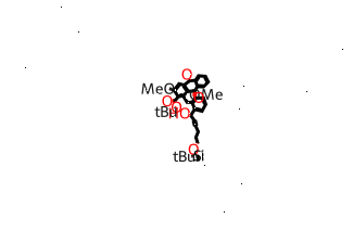 COc1cccc(C(O)C#CCCCO[Si](C)(C)C(C)(C)C)c1Cc1c(C(=O)OC(C)(C)C)c(OC)cc2c1C(=O)c1ccccc1C2=O